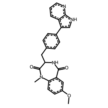 COc1ccc2c(c1)C(=O)NC(Cc1ccc(-c3c[nH]c4ncccc34)cc1)C(=O)N2C